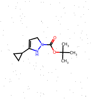 CC(C)(C)OC(=O)N1CC=C(C2CC2)N1